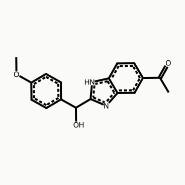 COc1ccc(C(O)c2nc3cc(C(C)=O)ccc3[nH]2)cc1